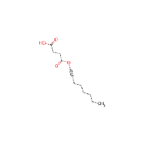 CCCCCCC#COC(=O)CCC(=O)O